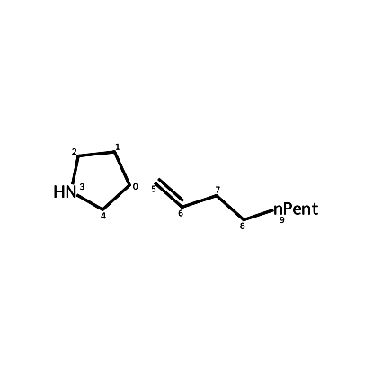 C1CCNC1.C=CCCCCCCC